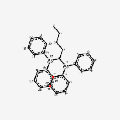 CCCCC([As](c1ccccc1)c1ccccc1)[As](c1ccccc1)c1ccccc1